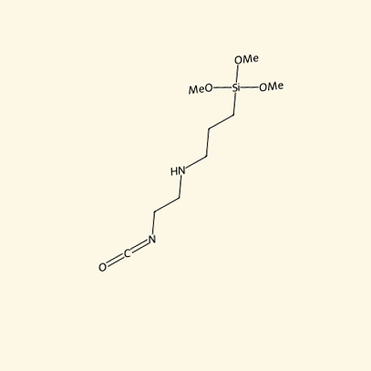 CO[Si](CCCNCCN=C=O)(OC)OC